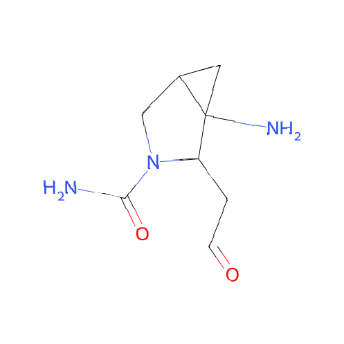 NC(=O)N1CC2CC2(N)C1CC=O